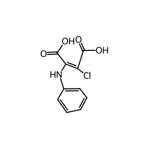 O=C(O)C(Cl)=C(Nc1ccccc1)C(=O)O